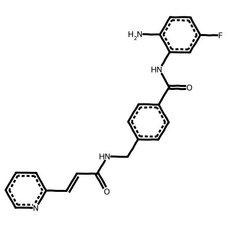 Nc1ccc(F)cc1NC(=O)c1ccc(CNC(=O)C=Cc2ccccn2)cc1